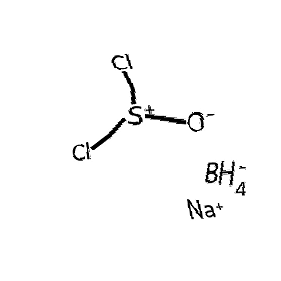 [BH4-].[Na+].[O-][S+](Cl)Cl